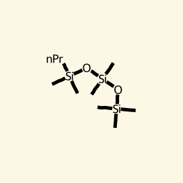 CCC[Si](C)(C)O[Si](C)(C)O[Si](C)(C)C